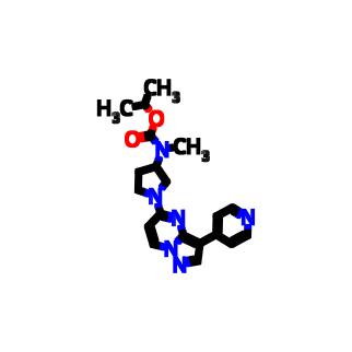 CC(C)OC(=O)N(C)C1CCN(c2ccn3ncc(-c4ccncc4)c3n2)C1